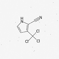 N#Cc1[nH]ccc1C(Cl)(Cl)Cl